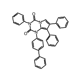 O=c1n(-c2ccccc2)c(=O)n2cc(-c3ccccc3)c(-c3ccccc3)c2n1-c1ccc(-c2ccccc2)cc1